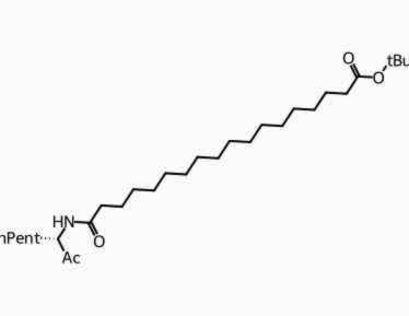 CCCCC[C@H](NC(=O)CCCCCCCCCCCCCCCCC(=O)OC(C)(C)C)C(C)=O